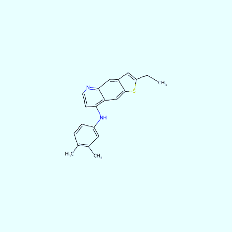 CCc1cc2cc3nccc(Nc4ccc(C)c(C)c4)c3cc2s1